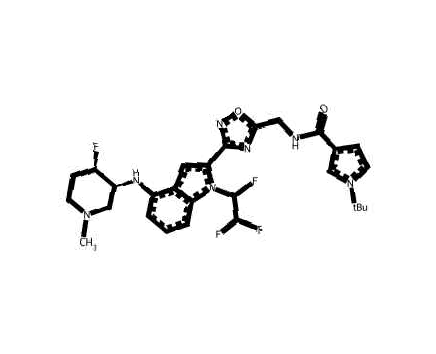 CN1CC[C@@H](F)[C@@H](Nc2cccc3c2cc(-c2noc(CNC(=O)c4ccn(C(C)(C)C)c4)n2)n3C(F)C(F)F)C1